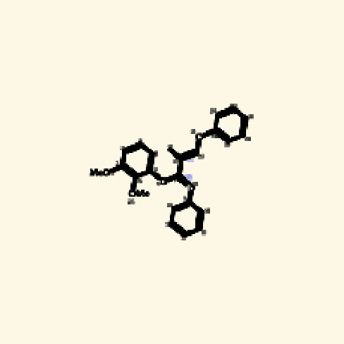 COc1cccc(OC(=N\c2ccccc2)/C(C)=C/Oc2ccccc2)c1OC